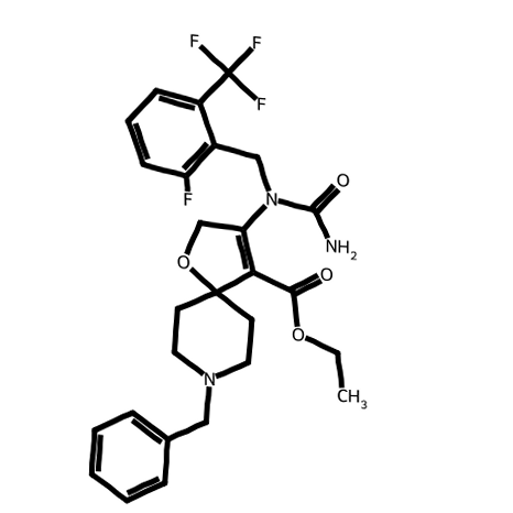 CCOC(=O)C1=C(N(Cc2c(F)cccc2C(F)(F)F)C(N)=O)COC12CCN(Cc1ccccc1)CC2